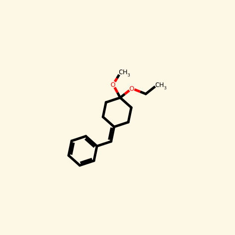 CCOC1(OC)CCC(=Cc2ccccc2)CC1